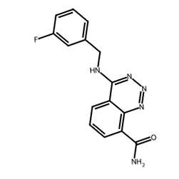 NC(=O)c1cccc2c(NCc3cccc(F)c3)nnnc12